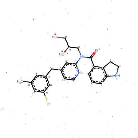 O=C(c1cccc2c1CCN2)N(C[C@@H](O)CO)c1cc(Cc2cc(F)cc(C(F)(F)F)c2)ccn1